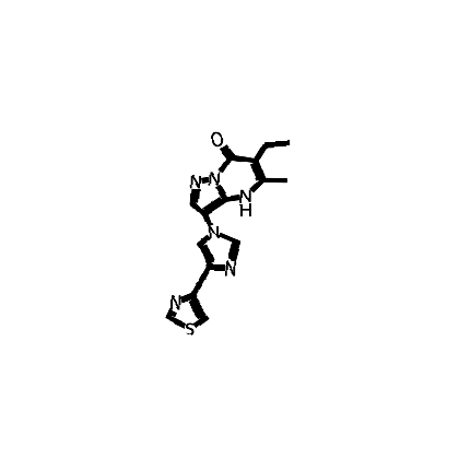 CCc1c(C)[nH]c2c(-n3cnc(-c4cscn4)c3)cnn2c1=O